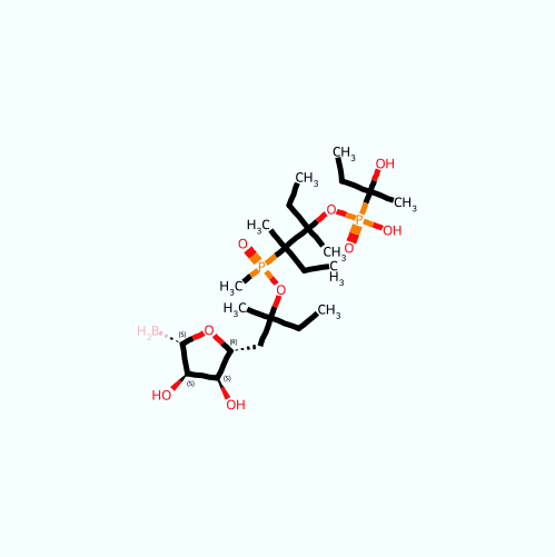 B[C@@H]1O[C@H](CC(C)(CC)OP(C)(=O)C(C)(CC)C(C)(CC)OP(=O)(O)C(C)(O)CC)[C@@H](O)[C@H]1O